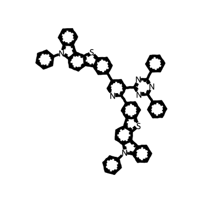 c1ccc(-c2nc(-c3ccccc3)nc(-c3cc(-c4ccc5sc6c(ccc7c6c6ccccc6n7-c6ccccc6)c5c4)cnc3-c3ccc4sc5c(ccc6c5c5ccccc5n6-c5ccccc5)c4c3)n2)cc1